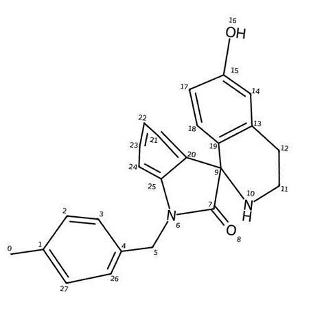 Cc1ccc(CN2C(=O)C3(NCCc4cc(O)ccc43)c3ccccc32)cc1